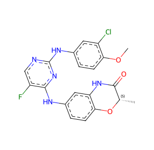 COc1ccc(Nc2ncc(F)c(Nc3ccc4c(c3)NC(=O)[C@H](C)O4)n2)cc1Cl